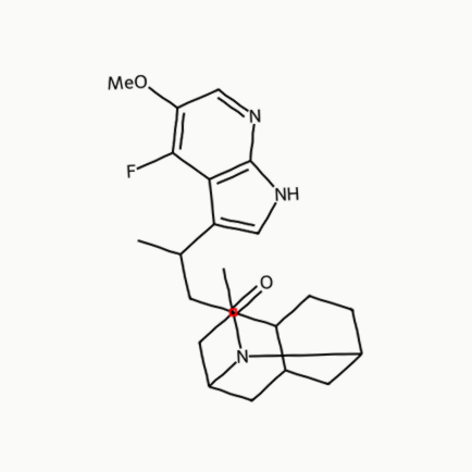 COc1cnc2[nH]cc(C(C)CC(=O)N3C4CCC5C(C)CC3CC5C4)c2c1F